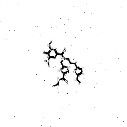 CCOC(=O)c1csc(CN(CCCc2ccc(CC)o2)C(=O)c2cc(OC)c(C)c(OC)c2)n1